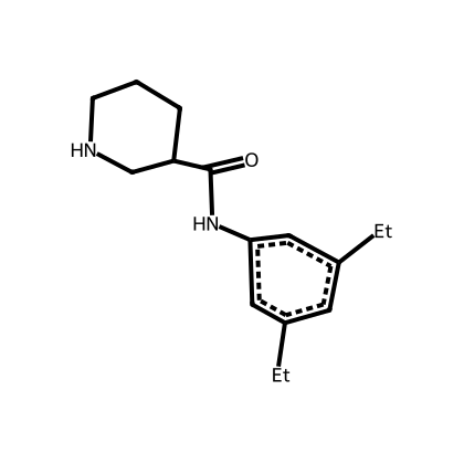 CCc1cc(CC)cc(NC(=O)C2CCCNC2)c1